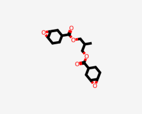 CC(COC(=O)C1CCC2OC2C1)COC(=O)C1CCC2OC2C1